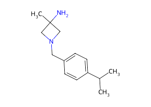 CC(C)c1ccc(CN2CC(C)(N)C2)cc1